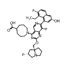 CCc1c(F)ccc2cc(O)cc(-c3ncc4c(N5CCCC(C(=O)O)CCC5)nc(OC[C@@]56CCCN5C[C@H](F)C6)nc4c3F)c12